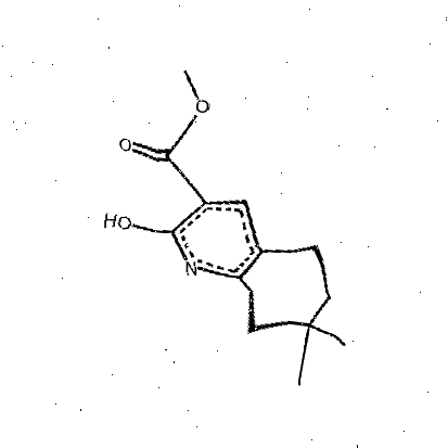 COC(=O)c1cc2c(nc1O)CC(C)(C)CC2